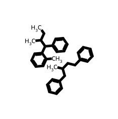 CC(CCc1ccccc1)Cc1ccccc1.CCC(C)C(c1ccccc1)c1ccccc1C